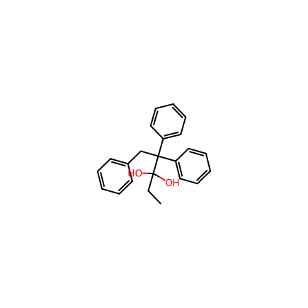 CCC(O)(O)C(Cc1ccccc1)(c1ccccc1)c1ccccc1